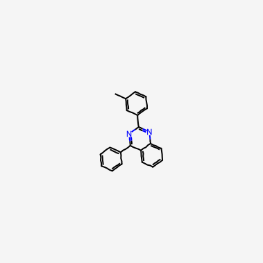 Cc1cccc(-c2nc(-c3ccccc3)c3ccccc3n2)c1